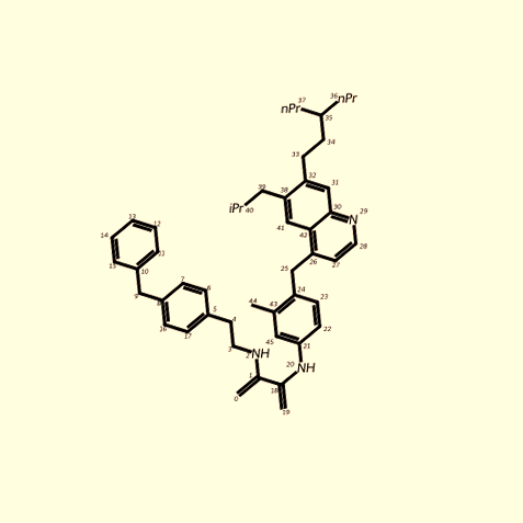 C=C(NCCc1ccc(Cc2ccccc2)cc1)C(=C)Nc1ccc(Cc2ccnc3cc(CCC(CCC)CCC)c(CC(C)C)cc23)c(C)c1